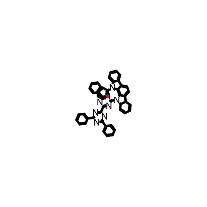 C1=CC2c3ccc4c5ccccc5n(-c5ccccc5)c4c3N(c3nc(-c4ccccc4)nc(-c4nc(-c5ccccc5)nc(-c5ccccc5)n4)n3)C2C=C1